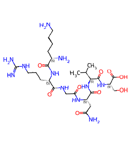 CC(C)[C@H](NC(=O)[C@H](CC(N)=O)NC(=O)CNC(=O)[C@H](CCCNC(=N)N)NC(=O)[C@@H](N)CCCCN)C(=O)N[C@@H](CO)C(=O)O